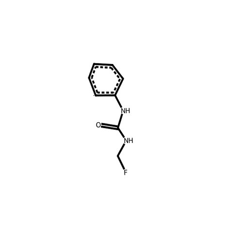 O=C(NCF)Nc1[c]cccc1